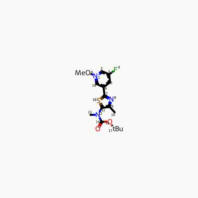 CO[n+]1cc(F)cc(-c2nc(C)c(N(C)C(=O)OC(C)(C)C)s2)c1